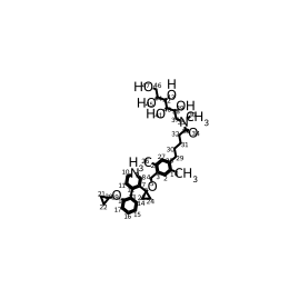 Cc1cc(COC2(c3cnccc3-c3ccccc3OC3CC3)CC2)c(C)cc1CCCCC(=O)N(C)CC(O)C(O)C(O)C(O)CO